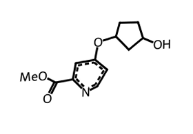 COC(=O)c1cc(OC2CCC(O)C2)ccn1